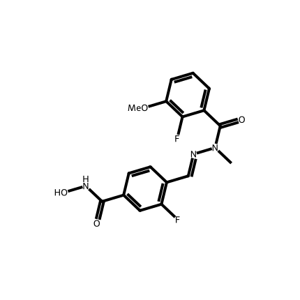 COc1cccc(C(=O)N(C)N=Cc2ccc(C(=O)NO)cc2F)c1F